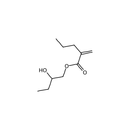 C=C(CCC)C(=O)OCC(O)CC